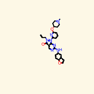 C=CCn1c(=O)c2cnc(Nc3ccc4occc4c3)nc2n1-c1cccc(OC2CCN(C)CC2)n1